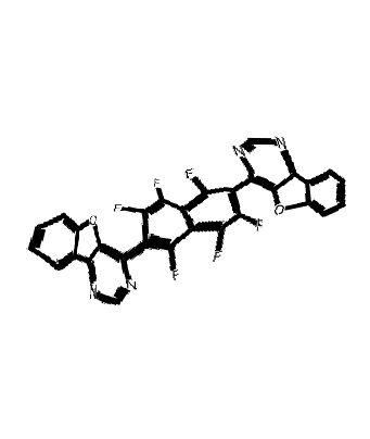 Fc1c(-c2ncnc3c2oc2ccccc23)c(F)c2c(F)c(F)c(-c3ncnc4c3oc3ccccc34)c(F)c2c1F